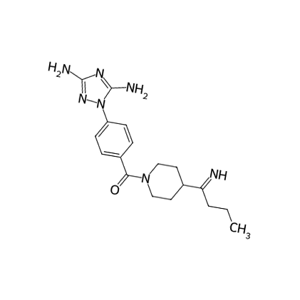 CCCC(=N)C1CCN(C(=O)c2ccc(-n3nc(N)nc3N)cc2)CC1